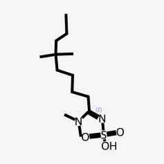 CCCC(C)(C)CCCC/C(=N/S(=O)(=O)O)N(C)C